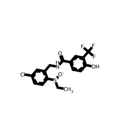 CC[S+]([O-])c1ccc(Cl)cc1CNC(=O)c1ccc(O)c(C(F)(F)F)c1